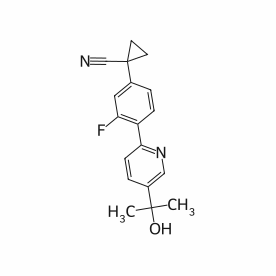 CC(C)(O)c1ccc(-c2ccc(C3(C#N)CC3)cc2F)nc1